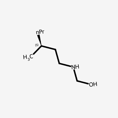 CCC[C@H](C)CCNCO